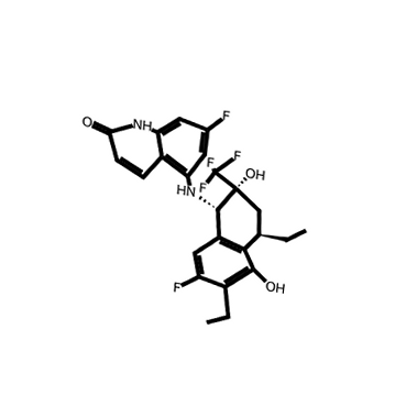 CCc1c(F)cc2c(c1O)[C@H](CC)C[C@](O)(C(F)(F)F)[C@H]2Nc1cc(F)cc2[nH]c(=O)ccc12